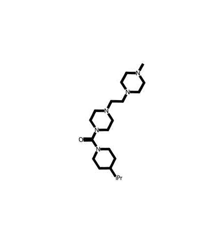 CC(C)C1CCN(C(=O)N2CCN(CCN3CCN(C)CC3)CC2)CC1